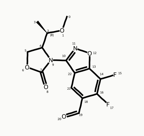 CO[C@H](C)C1COC(=O)N1c1noc2c(F)c(F)c(C=O)cc12